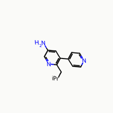 CC(C)Cc1ncc(N)cc1-c1ccncc1